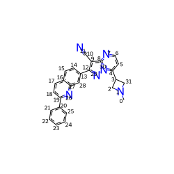 CN1CC(c2ccnc3c(C#N)c(-c4ccc5ccc(-c6ccccc6)nc5c4)nn23)C1